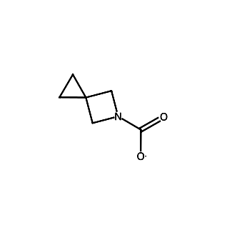 [O]C(=O)N1CC2(CC2)C1